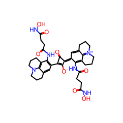 O=C(CCC(=O)Nc1c(C2=C([O-])/C(=c3/cc4c5c(c3NC(=O)CCC(=O)NO)CCC[N+]=5CCC4)C2=O)cc2c3c1CCCN3CCC2)NO